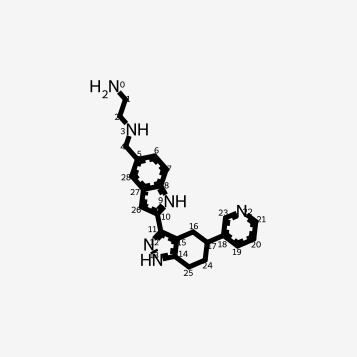 NCCNCc1ccc2[nH]c(-c3n[nH]c4c3CC(c3cccnc3)CC4)cc2c1